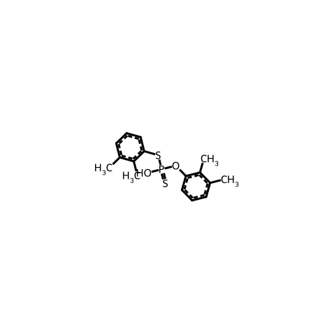 Cc1cccc(OP(O)(=S)Sc2cccc(C)c2C)c1C